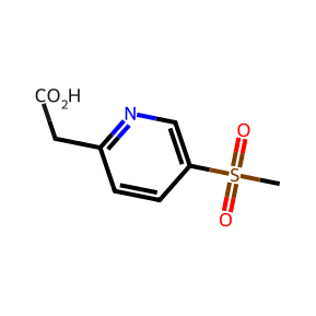 CS(=O)(=O)c1ccc(CC(=O)O)nc1